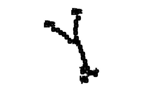 CC[N+](CC)(CC)CCCCC(=O)CCOCCOCCOCCOCCCC(=O)CCN(CCC(=O)CCCOCCOCCOCCOCCC(=O)CCCC[N+](CC)(CC)CC)Cc1cn(CCOCCOCCOCCOCCOCCOCCOCCCC(=O)C(CCCNC(=O)c2cccc(C)c2C)(CCCNC(=O)c2cccc(C)c2C)CCCNC(=O)c2cccc(C)c2C)nn1